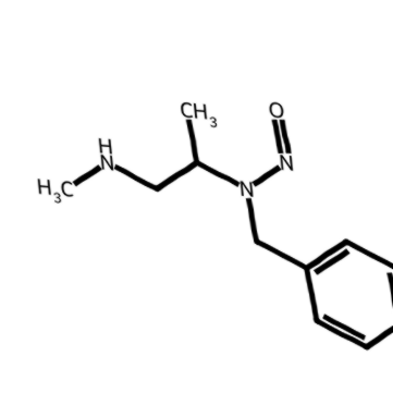 CNCC(C)N(Cc1ccccc1)N=O